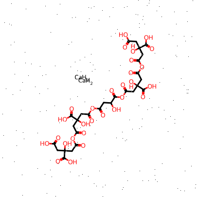 O=C(O)CC(O)(CC(=O)OC(=O)CC(O)(CC(=O)OC(=O)CC(O)C(=O)OC(=O)CC(O)(CC(=O)OC(=O)CC(O)(CC(=O)O)C(=O)O)C(=O)O)C(=O)O)C(=O)O.[CaH2].[CaH2]